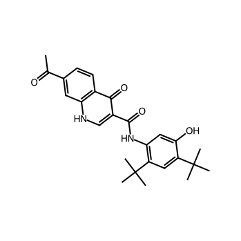 CC(=O)c1ccc2c(=O)c(C(=O)Nc3cc(O)c(C(C)(C)C)cc3C(C)(C)C)c[nH]c2c1